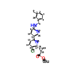 Cc1cccc(CNc2ccc(-c3ccc(Cl)c([C@@H]4C[C@H]4C(=O)OC(C)(C)C)n3)cn2)c1